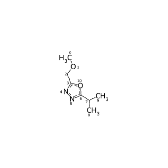 COCc1nnc(C(C)C)o1